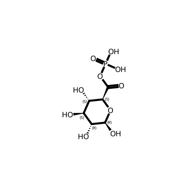 O=C(OP(=O)(O)O)[C@H]1O[C@@H](O)[C@H](O)[C@@H](O)[C@@H]1O